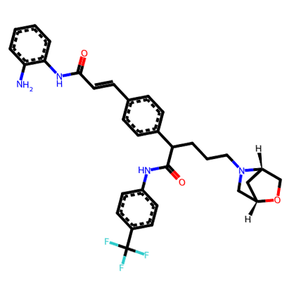 Nc1ccccc1NC(=O)/C=C/c1ccc(C(CCCN2C[C@@H]3C[C@H]2CO3)C(=O)Nc2ccc(C(F)(F)F)cc2)cc1